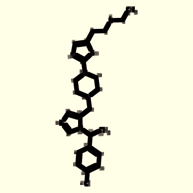 CCSCCc1cnc(N2CCN(Cc3cncn3C(C)c3ccc(Cl)cc3)CC2)s1